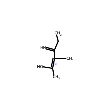 CCC(=N)/C(C)=C(/C)O